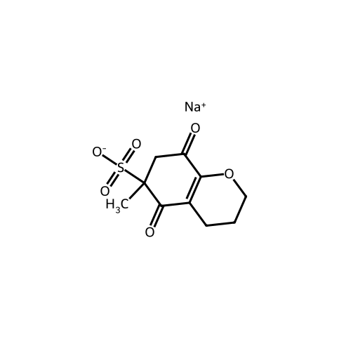 CC1(S(=O)(=O)[O-])CC(=O)C2=C(CCCO2)C1=O.[Na+]